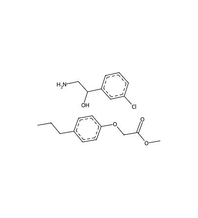 CCCc1ccc(OCC(=O)OC)cc1.NCC(O)c1cccc(Cl)c1